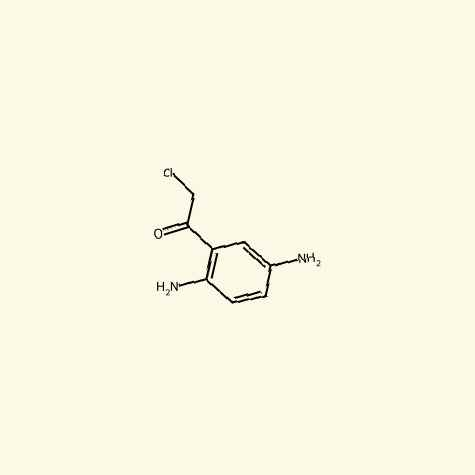 Nc1ccc(N)c(C(=O)CCl)c1